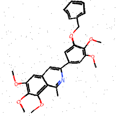 COc1cc(-c2cc3cc(OC)c(OC)c(OC)c3c(C)n2)cc(OCc2ccccc2)c1OC